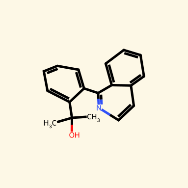 CC(C)(O)c1ccccc1-c1nccc2ccccc12